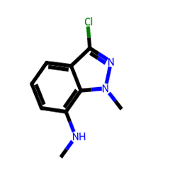 CNc1cccc2c(Cl)nn(C)c12